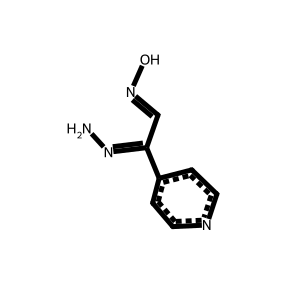 NN=C(C=NO)c1ccncc1